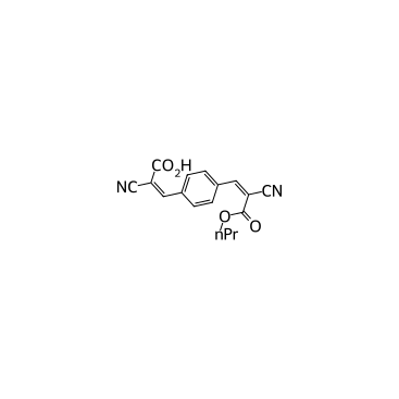 CCCOC(=O)C(C#N)=Cc1ccc(C=C(C#N)C(=O)O)cc1